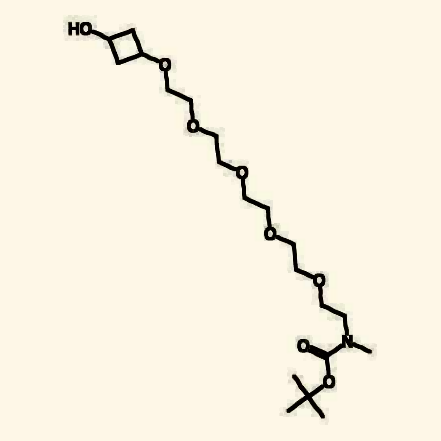 CN(CCOCCOCCOCCOCCOC1CC(O)C1)C(=O)OC(C)(C)C